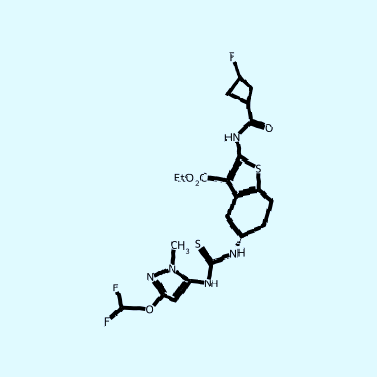 CCOC(=O)c1c(NC(=O)C2CC(F)C2)sc2c1C[C@@H](NC(=S)Nc1cc(OC(F)F)nn1C)CC2